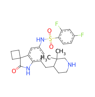 CC1(C)CNCCC1Cc1cc(NS(=O)(=O)c2ccc(F)cc2F)cc2c1NC(=O)C21CCC1